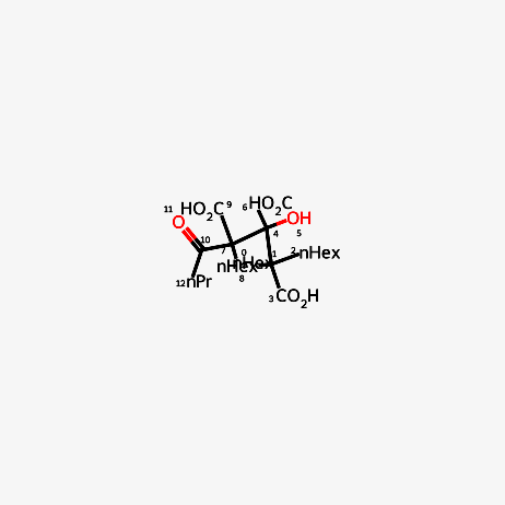 CCCCCCC(CCCCCC)(C(=O)O)C(O)(C(=O)O)C(CCCCCC)(C(=O)O)C(=O)CCC